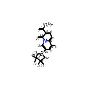 C=C(CCC)C1=CC=C2C(C)=CC(B3CC(C)(C)C(C)(C)C3)=CN2C1=C